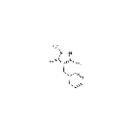 Cc1[nH]n(C)c(=O)c1Cc1ccccc1